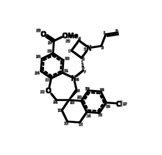 C=CCN1CC[C@H]1CN1C[C@@]2(CCCc3cc(Cl)ccc32)COc2ccc(C(=O)OC)cc21